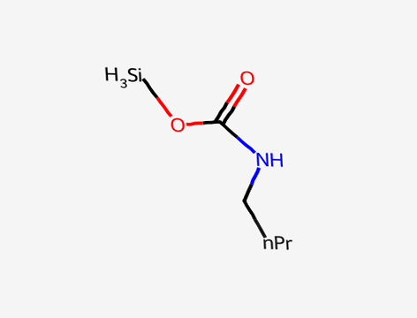 CCCCNC(=O)O[SiH3]